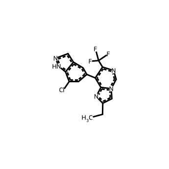 CCc1cn2cnc(C(F)(F)F)c(-c3cc(Cl)c4[nH]ncc4c3)c2n1